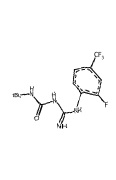 CC(C)(C)NC(=O)NC(=N)Nc1ccc(C(F)(F)F)cc1F